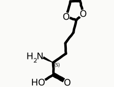 N[C@@H](CCCC1OCCO1)C(=O)O